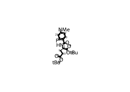 CNc1ccc(C(=O)N[C@H](CCC(=O)OC(C)(C)C)C(=O)OC(C)(C)C)c(F)c1